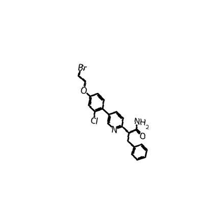 NC(=O)C(Cc1ccccc1)c1ccc(-c2ccc(OCCBr)cc2Cl)cn1